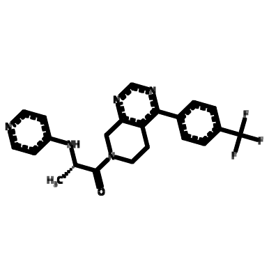 C[C@H](Nc1ccncc1)C(=O)N1CCc2c(ncnc2-c2ccc(C(F)(F)F)cc2)C1